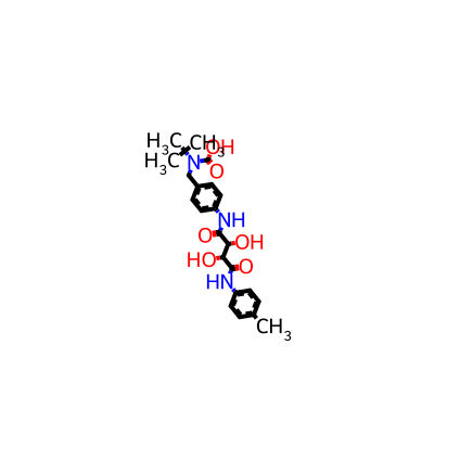 Cc1ccc(NC(=O)C(O)C(O)C(=O)Nc2ccc(CN(C(=O)O)C(C)(C)C)cc2)cc1